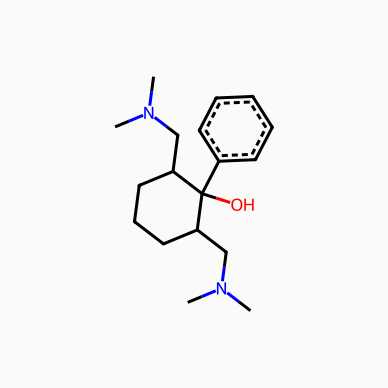 CN(C)CC1CCCC(CN(C)C)C1(O)c1ccccc1